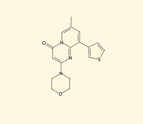 Cc1cc(-c2ccsc2)c2nc(N3CCOCC3)cc(=O)n2c1